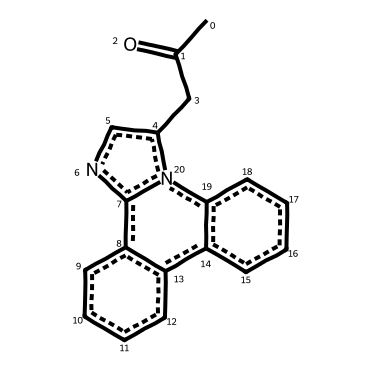 CC(=O)Cc1cnc2c3ccccc3c3ccccc3n12